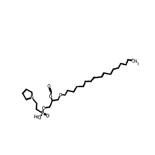 CCCCCCCCCCCCCCCCCOCC(COP(=O)(O)CCN1CCCC1)OC=O